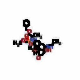 C=CCN[C@@H]1Cc2ccc(OP(=O)(COC)N[C@@H](C)C(=O)OCc3ccccc3)c3c2[C@@]2(CC)[C@@H](O3)C(=O)CC[C@@]12O